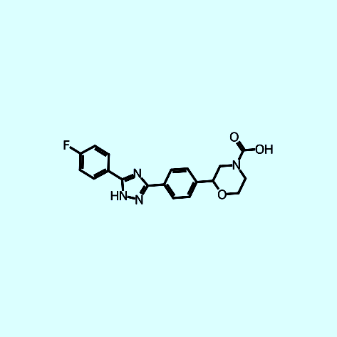 O=C(O)N1CCOC(c2ccc(-c3n[nH]c(-c4ccc(F)cc4)n3)cc2)C1